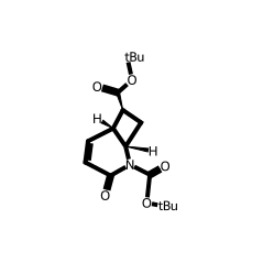 CC(C)(C)OC(=O)[C@H]1C[C@H]2[C@@H]1C=CC(=O)N2C(=O)OC(C)(C)C